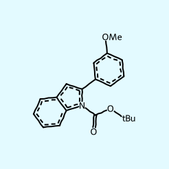 COc1cccc(-c2cc3ccccc3n2C(=O)OC(C)(C)C)c1